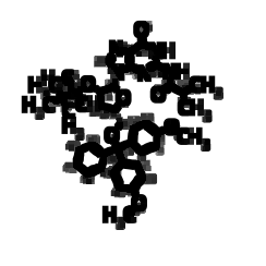 COc1ccc(C(OC[C@@H]2C[C@@H](O[Si](C)(C)C(C)(C)C)[C@H](n3cnc4c(=O)[nH]c(NC(=O)C(C)C)nc43)O2)(c2ccccc2)c2ccc(OC)cc2)cc1